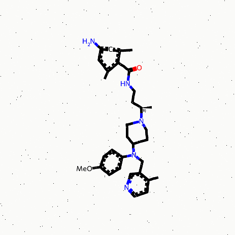 COc1ccc(N(Cc2cnccc2C)C2CCN([C@H](C)CCNC(=O)c3c(C)cc(N)cc3C)CC2)cc1